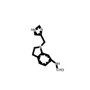 O=CNc1ccc2c(c1)N(Cc1c[nH]cn1)CC2